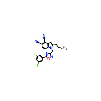 CCCc1cc2c(C#N)c(C#N)ccc2n1Cc1noc(-c2cc(F)cc(F)c2)n1